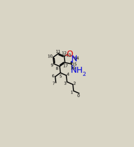 CCCCCC(CC)c1cccc2onc(N)c12